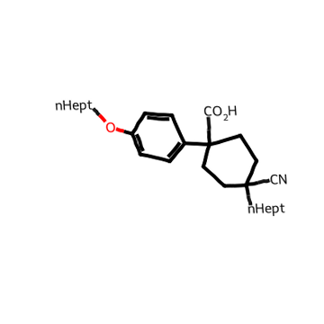 CCCCCCCOc1ccc(C2(C(=O)O)CCC(C#N)(CCCCCCC)CC2)cc1